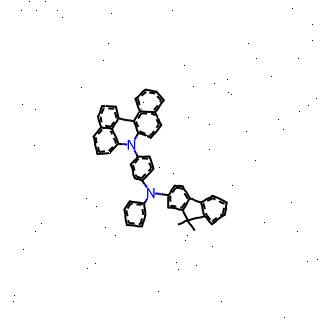 CC1(C)c2ccccc2-c2ccc(N(c3ccccc3)c3ccc(N4c5ccc6ccccc6c5-c5cccc6cccc4c56)cc3)cc21